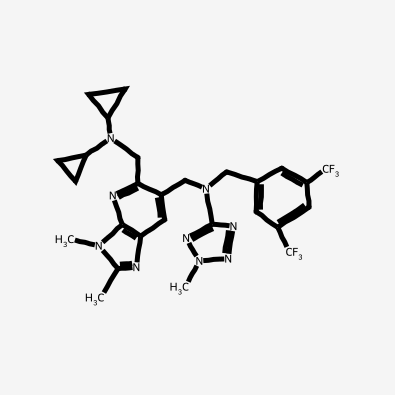 Cc1nc2cc(CN(Cc3cc(C(F)(F)F)cc(C(F)(F)F)c3)c3nnn(C)n3)c(CN(C3CC3)C3CC3)nc2n1C